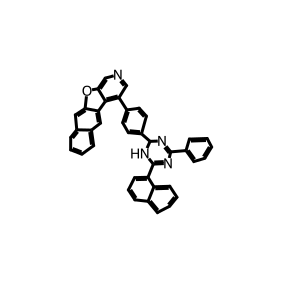 c1ccc(C2=NC(c3ccc(-c4cncc5oc6cc7ccccc7cc6c45)cc3)NC(c3cccc4ccccc34)=N2)cc1